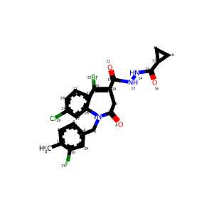 Cc1ccc(CN2C(=O)CC(C(=O)NNC(=O)C3CC3)=C(Br)c3ccc(Cl)cc32)cc1F